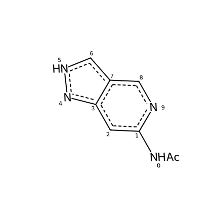 CC(=O)Nc1cc2n[nH]cc2cn1